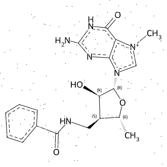 C[C@H]1O[C@@H](n2c[n+](C)c3c(=O)[nH]c(N)nc32)[C@H](O)[C@@H]1CNC(=O)c1ccccc1